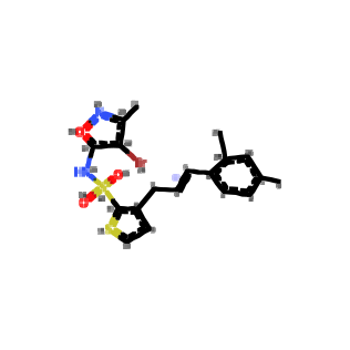 Cc1ccc(/C=C/Cc2ccsc2S(=O)(=O)Nc2onc(C)c2Br)c(C)c1